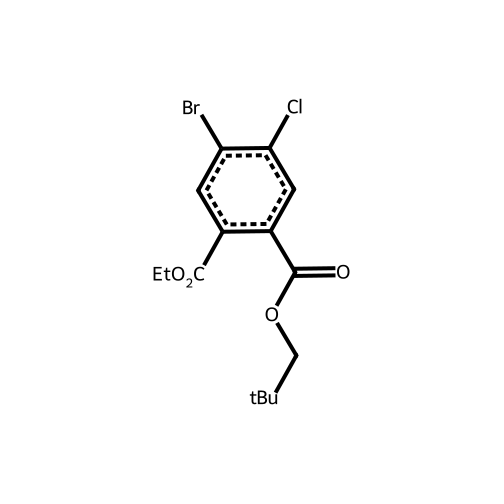 CCOC(=O)c1cc(Br)c(Cl)cc1C(=O)OCC(C)(C)C